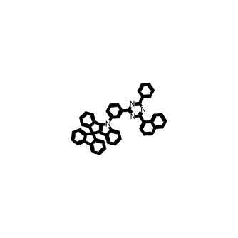 c1ccc(-c2nc(-c3cccc(-n4c5c(c6ccccc64)C4(c6ccccc6-c6ccccc64)c4ccccc4-5)c3)nc(-c3cccc4ccccc34)n2)cc1